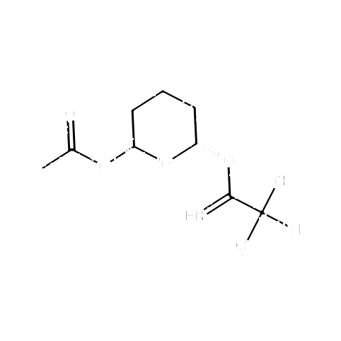 CC(=O)OC1CCC[C@H](OC(=N)C(Cl)(Cl)Cl)O1